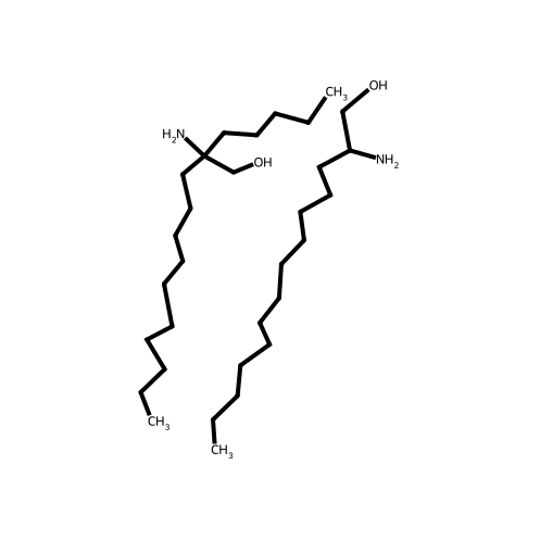 CCCCCCCCCCC(N)(CO)CCCCC.CCCCCCCCCCCCC(N)CO